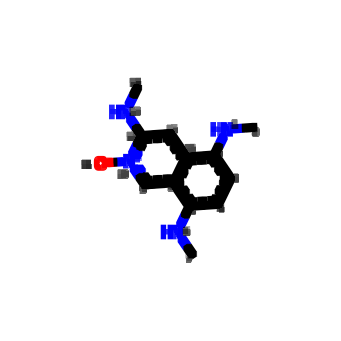 CNc1ccc(NC)c2c[n+]([O-])c(NC)cc12